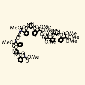 CO/C=C(/C(=O)OC)c1ccccc1Oc1cc(Oc2ccccc2/C(=C\OCO/C=C(/C(=O)OC)c2ccccc2Oc2cc(Oc3ccccc3C(C(=O)OC)C(OC)OCOC(OC)C(C(=O)OC)c3ccccc3Oc3cc(Oc4ccccc4C(C(=O)OC)C(OC)OC)ncn3)ncn2)C(=O)OC)ncn1